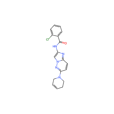 O=C(Nc1cn2nc(N3CC=CCC3)ccc2n1)c1ccccc1Cl